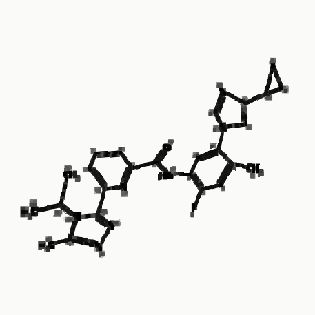 Cc1cc(F)c(NC(=O)c2cccc(-c3nnc(C)n3C(C)C)n2)cc1-n1cnc(C2CC2)c1